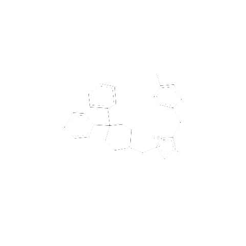 Cl.Cl.Clc1ccc(Cc2ncc(CN3CCC(c4ccccc4)(c4ccccc4)CC3)[nH]2)cc1